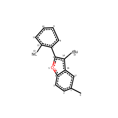 Cc1ccc2oc(-c3ccccc3C#N)c(C(C)(C)C)c2c1